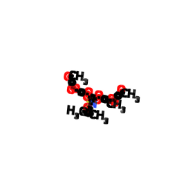 CC(=O)C1CCC(C(=O)OCC2CCC(C(=O)Oc3ccc(OC(=O)C4CCC(C(C)OC(=O)C5CCC(C(C)=O)CC5)CC4)c4nc(-c5cc6c(C)ccc(C)c6o5)sc34)CC2)CC1